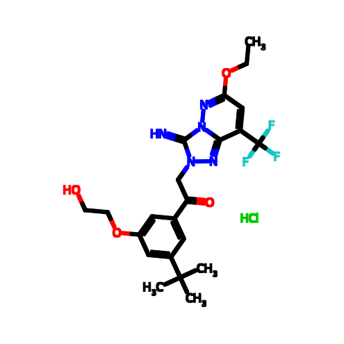 CCOc1cc(C(F)(F)F)c2nn(CC(=O)c3cc(OCCO)cc(C(C)(C)C)c3)c(=N)n2n1.Cl